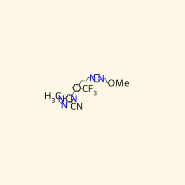 COCCN1CCN(CCCc2ccc(-c3cc4c(ncn4C)c(C#N)n3)cc2C(F)(F)F)CC1